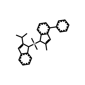 CC1=Cc2c(-c3ccccc3)cccc2C1[Si](C)(C)C1C(C(C)C)=Cc2ccccc21